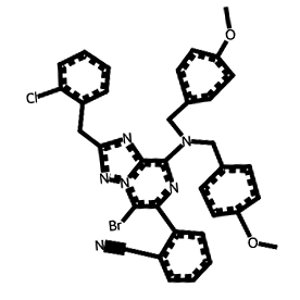 COc1ccc(CN(Cc2ccc(OC)cc2)c2nc(-c3ccccc3C#N)c(Br)n3nc(Cc4ccccc4Cl)nc23)cc1